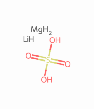 O=S(=O)(O)O.[LiH].[MgH2]